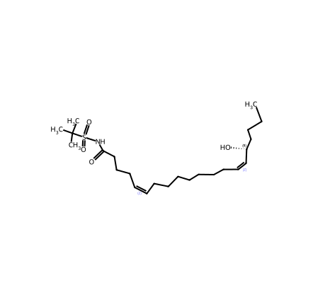 CCCC[C@@H](O)/C=C\CCCCCCC/C=C\CCCC(=O)NS(=O)(=O)C(C)(C)C